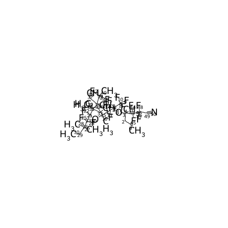 CCCC(C)(OC(F)(C(F)(F)F)C(F)(F)C(C)(CCC)OC(F)(C(F)(F)C(C)(C)CC)C(C)(CC)C(C)(CC)C(C)(F)F)C(F)(F)C(F)(F)C#N